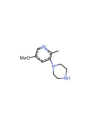 COc1cnc(C)c(N2CCNCC2)c1